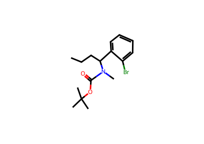 CCCC(c1ccccc1Br)N(C)C(=O)OC(C)(C)C